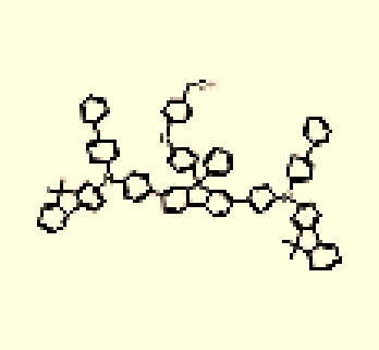 CC1(C)c2ccccc2-c2ccc(N(C3=CC=C(c4ccccc4)CC3)c3ccc(C4=CC5C(C=C4)c4ccc(-c6ccc(N(c7ccc(-c8ccccc8)cc7)c7ccc8c(c7)C(C)(C)c7ccccc7-8)cc6)cc4C5(c4ccccc4)c4ccc(Oc5ccc(CO)cc5)cc4)cc3)cc21